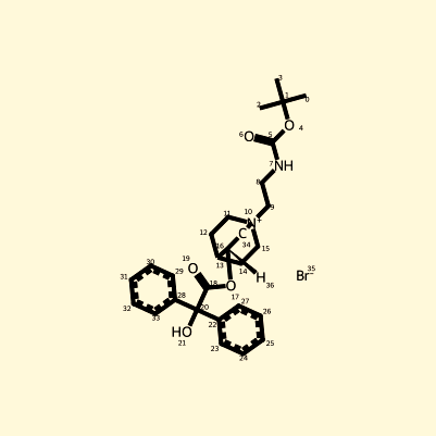 CC(C)(C)OC(=O)NCC[N+]12CCC(CC1)[C@@H](OC(=O)C(O)(c1ccccc1)c1ccccc1)C2.[Br-]